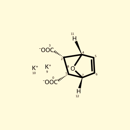 O=C([O-])[C@@H]1[C@H](C(=O)[O-])[C@@H]2C=C[C@H]1O2.[K+].[K+]